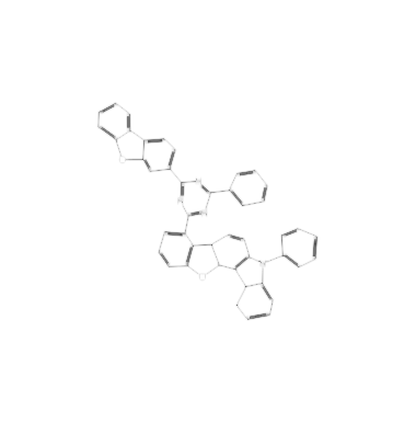 C1=CCC2C(=C1)N(c1ccccc1)C1=C2C2Oc3cccc(-c4nc(-c5ccccc5)nc(-c5ccc6c(c5)oc5ccccc56)n4)c3C2C=C1